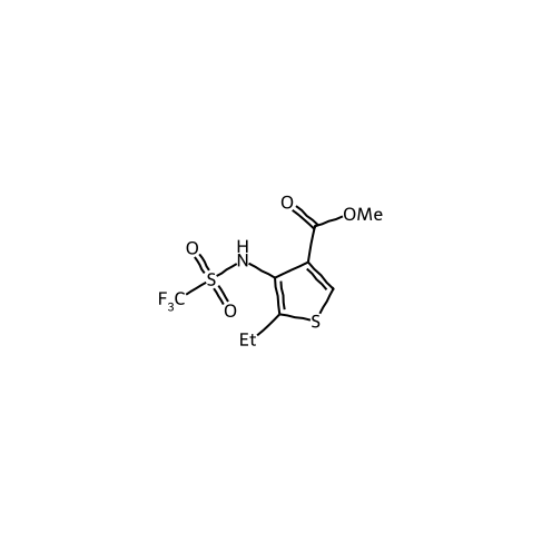 CCc1scc(C(=O)OC)c1NS(=O)(=O)C(F)(F)F